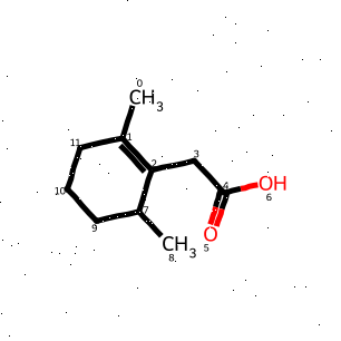 CC1=C(CC(=O)O)C(C)CCC1